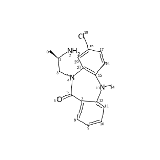 C[C@@H](N)CN1C(=O)c2ccccc2N(C)c2ccc(Cl)cc21